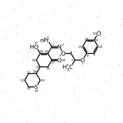 CCCC(=NOCC(C)Oc1ccc(Cl)cc1)C1=C(O)CC(C2CCCSC2)CC1=O